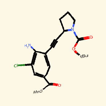 COC(=O)c1cc(Cl)c(N)c(C#CC2CCCN2C(=O)OC(C)(C)C)c1